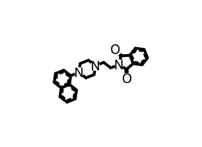 O=C1c2ccccc2C(=O)N1CCN1CCN(c2cccc3ccccc23)CC1